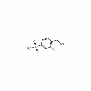 CS(=O)(=O)c1ccc(CO)c(F)c1